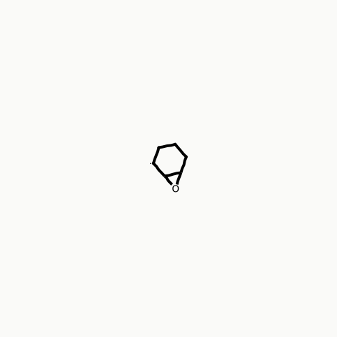 [CH]1CCCC2OC12